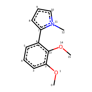 COc1cccc(-c2cc[c]n2C)c1OC